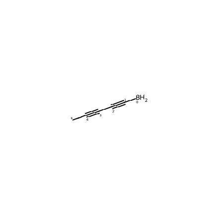 BC#CC#CC